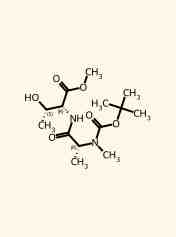 COC(=O)[C@H](NC(=O)[C@@H](C)N(C)C(=O)OC(C)(C)C)[C@H](C)O